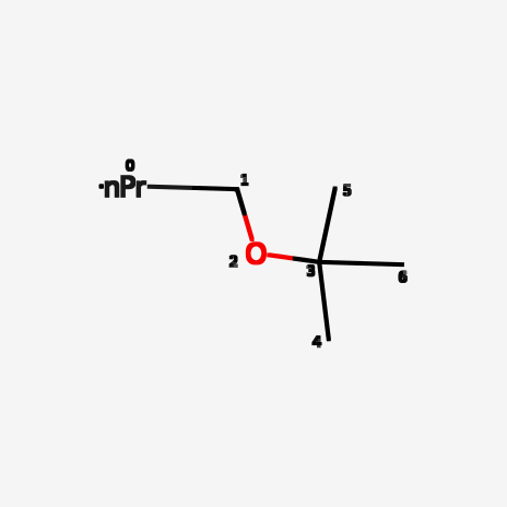 [CH2]C[CH]COC(C)(C)C